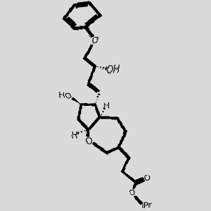 CC(C)OC(=O)CCC1CC[C@@H]2[C@@H](/C=C/[C@@H](O)COc3ccccc3)[C@H](O)C[C@@H]2OC1